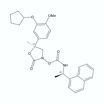 COc1ccc([C@@]2(C)CN(OC(=O)N[C@H](C)c3cccc4ccccc34)C(=O)O2)cc1OC1CCCC1